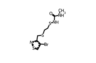 CNC(=O)NSCCSCc1nscc1Br